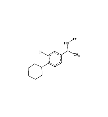 CCNC(C)c1ccc(C2CCCCC2)c(Cl)c1